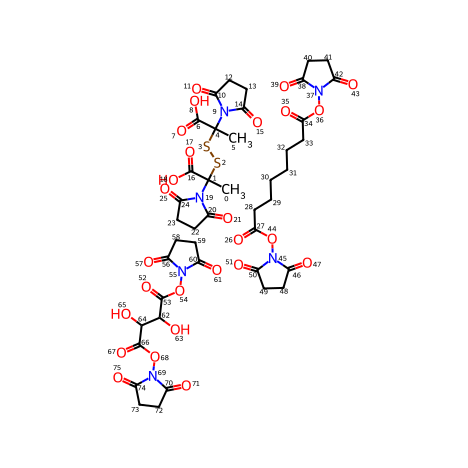 CC(SSC(C)(C(=O)O)N1C(=O)CCC1=O)(C(=O)O)N1C(=O)CCC1=O.O=C(CCCCCCC(=O)ON1C(=O)CCC1=O)ON1C(=O)CCC1=O.O=C(ON1C(=O)CCC1=O)C(O)C(O)C(=O)ON1C(=O)CCC1=O